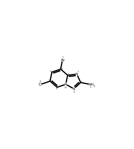 Nc1nc2c(Br)cc(Cl)cn2n1